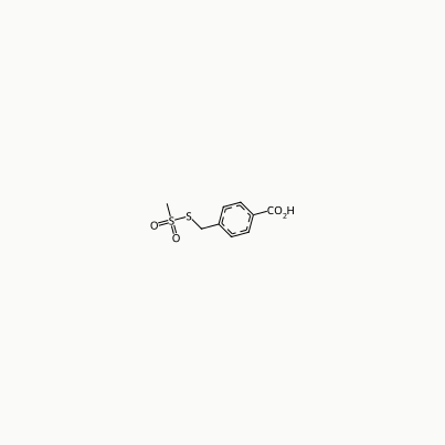 CS(=O)(=O)SCc1ccc(C(=O)O)cc1